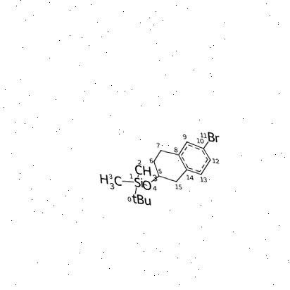 CC(C)(C)[Si](C)(C)OC1CCc2cc(Br)ccc2C1